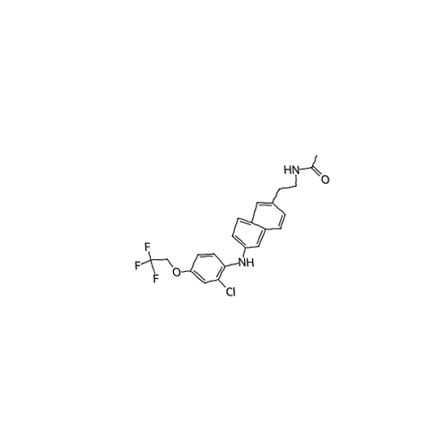 CC(=O)NCCc1ccc2cc(Nc3ccc(OCC(F)(F)F)cc3Cl)ccc2c1